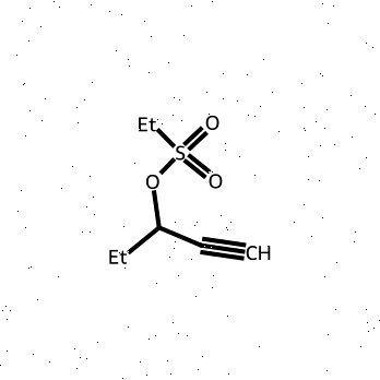 C#CC(CC)OS(=O)(=O)CC